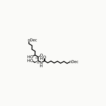 CCCCCCCCCCCCCCCCCC(=O)N[C@@H](CO)[C@H](O)C(O)CCCCCCCCCCCCCC